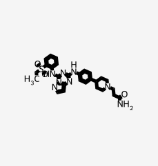 CCS(=O)(=O)c1ccccc1Nc1nc(Nc2ccc(C3CCN(CCC(N)=O)CC3)cc2)nc2ccnn12